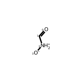 O=C[NH2+][O-]